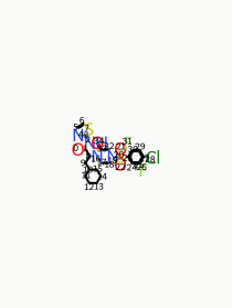 O=C(Nc1nccs1)C(CC1CCCCC1)N1CCN(S(=O)(=O)c2cc(F)c(Cl)cc2F)CC1=O